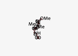 COc1ccc(C2=CC=C3C(C2)Cn2cc(OCCCOc4cn5c(c4OC)C=[N+]([O-])C4=CC=C(c6cccc(NC(=O)CCCCCN7C(=O)C=CC7=O)c6)CC4C5)c(OC)c2C=[N+]3[O-])cc1